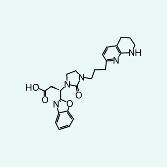 O=C(O)C[C@H](c1nc2ccccc2o1)N1CCN(CCCc2ccc3c(n2)NCCC3)C1=O